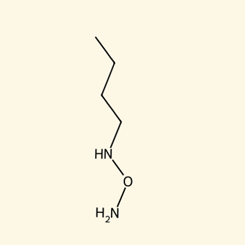 CCCCNON